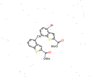 COC(=O)c1cc2c(Br)cccc2s1.COC(=O)c1cc2c(C#N)cccc2s1